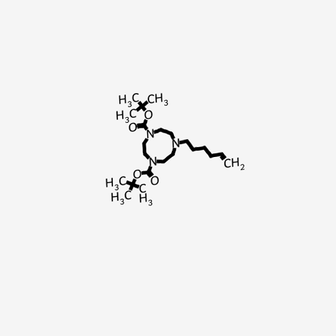 C=CCCCCN1CCN(C(=O)OC(C)(C)C)CCN(C(=O)OC(C)(C)C)CC1